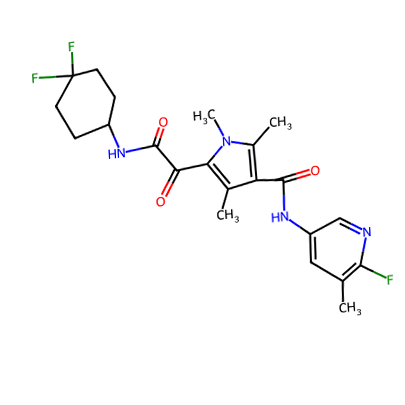 Cc1cc(NC(=O)c2c(C)c(C(=O)C(=O)NC3CCC(F)(F)CC3)n(C)c2C)cnc1F